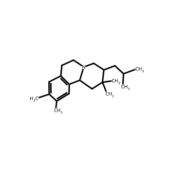 Cc1cc2c(cc1C)C1CC(C)(C)C(CC(C)C)CN1CC2